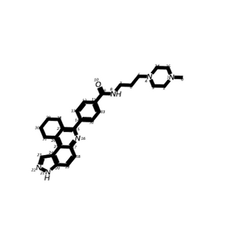 CN1CCN(CCCNC(=O)c2ccc(-c3nc4ccc5[nH]ncc5c4c4c3CCCC4)cc2)CC1